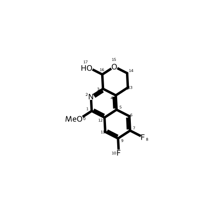 COc1nc2c(c3cc(F)c(F)cc13)[CH]COC2O